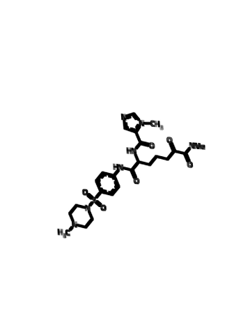 CNC(=O)C(=O)CCCC(NC(=O)c1cncn1C)C(=O)Nc1ccc(S(=O)(=O)N2CCN(C)CC2)cc1